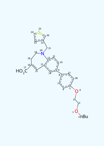 CCCCOCCOc1ccc(-c2ccc3c(c2)C=C(C(=O)O)CCN3Cc2ccsc2)cc1